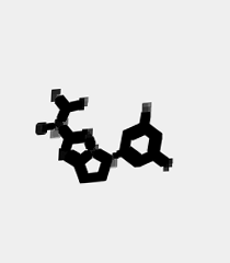 [O-][S@@+](c1nc2n(n1)[C@H](c1cc(F)cc(F)c1)CC2)C(F)F